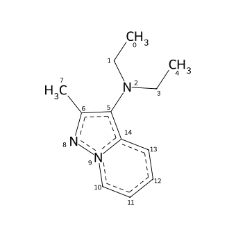 CCN(CC)c1c(C)nn2ccccc12